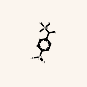 [CH2]C(c1ccc([N+](=O)[O-])cc1)[Si](C)(C)C